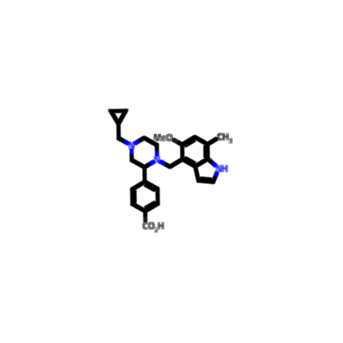 COc1cc(C)c2[nH]ccc2c1CN1CCN(CC2CC2)CC1c1ccc(C(=O)O)cc1